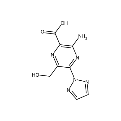 Nc1nc(-n2nccn2)c(CO)nc1C(=O)O